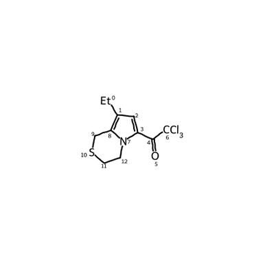 [CH2]Cc1cc(C(=O)C(Cl)(Cl)Cl)n2c1CSCC2